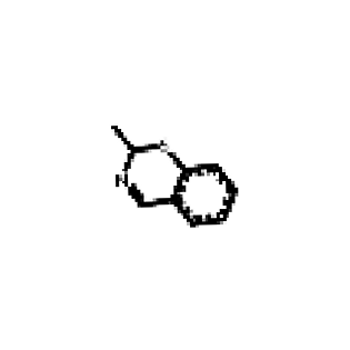 CC1N=Cc2ccccc2S1